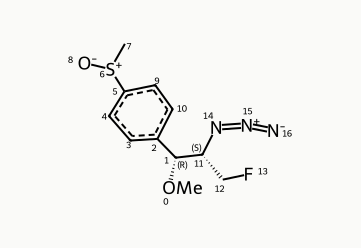 CO[C@H](c1ccc([S+](C)[O-])cc1)[C@@H](CF)N=[N+]=[N-]